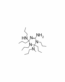 CCCNC1(CCC)N=C(N)N(CCC)C(CCC)(N(C)CCC)N1CCC